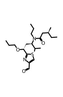 CCCO[C@H](C[C@H](C(C)C)N(CCC)C(=O)C[C@@H](C)CC)c1nc(C=O)cs1